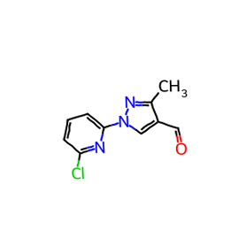 Cc1nn(-c2cccc(Cl)n2)cc1C=O